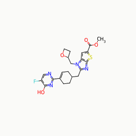 COC(=O)c1cc2c(nc(CC3CC=C(c4ncc(F)c(O)n4)CC3)n2CC2CCO2)s1